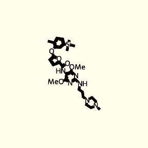 COc1nc(NCCCN2CCN(C)CC2)nc(OC)c1NC(=O)c1ccc(Oc2cc([Si](C)(C)C)ccc2C)o1